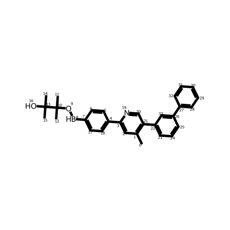 Cc1cc(-c2ccc(BOC(C)(C)C(C)(C)O)cc2)ncc1-c1cccc(-c2ccccc2)c1